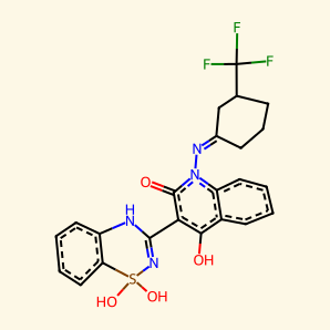 O=c1c(C2=NS(O)(O)c3ccccc3N2)c(O)c2ccccc2n1N=C1CCCC(C(F)(F)F)C1